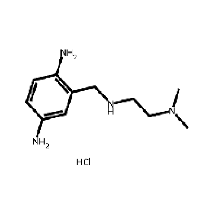 CN(C)CCNCc1cc(N)ccc1N.Cl